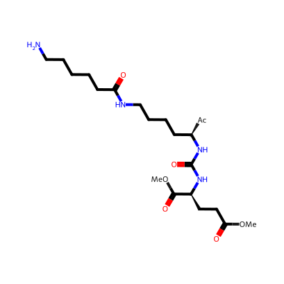 COC(=O)CC[C@H](NC(=O)N[C@@H](CCCCNC(=O)CCCCCN)C(C)=O)C(=O)OC